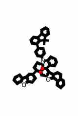 CC1(C)c2ccccc2-c2cccc(-c3ccc(N(c4ccc(-c5ccc6oc7ccccc7c6c5)cc4)c4ccccc4-c4cccc5oc6c7ccccc7ccc6c45)cc3)c21